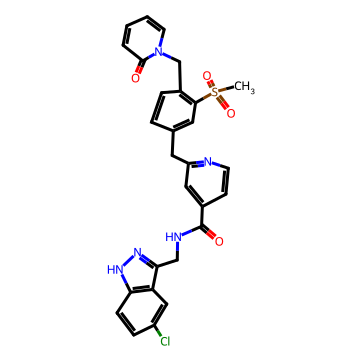 CS(=O)(=O)c1cc(Cc2cc(C(=O)NCc3n[nH]c4ccc(Cl)cc34)ccn2)ccc1Cn1ccccc1=O